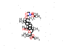 CCC(C)(C)[C@@H](OC(C)=O)C1C[C@@H](C)[C@H]2C(O1)[C@H](O)[C@@]1(C)C3CC[C@H]4C(C)(C)[C@@H](O[C@H]5CN(C(=O)OC(C)(C)C)CCO5)CC[C@@]45C[C@@]35CC[C@]21C